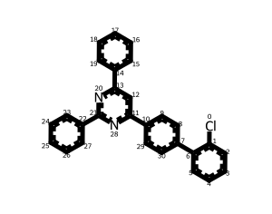 Clc1ccccc1-c1ccc(-c2cc(-c3ccccc3)nc(-c3ccccc3)n2)cc1